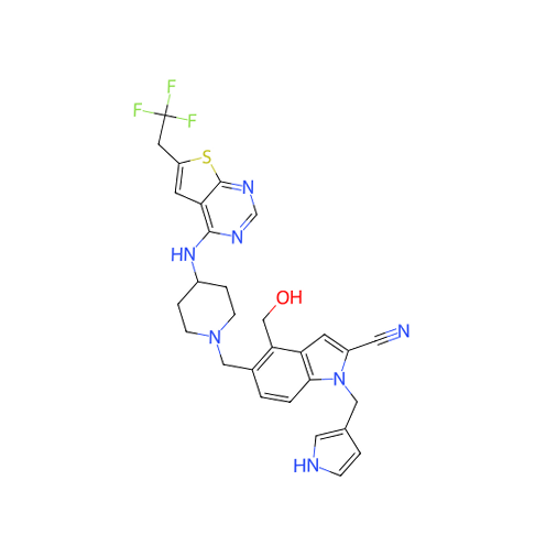 N#Cc1cc2c(CO)c(CN3CCC(Nc4ncnc5sc(CC(F)(F)F)cc45)CC3)ccc2n1Cc1cc[nH]c1